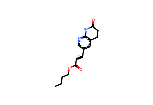 CCCCOC(=O)/C=C/c1cnc2c(c1)CCC(=O)N2